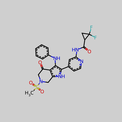 CS(=O)(=O)N1CC(=O)c2c([nH]c(-c3ccnc(NC(=O)C4CC4(F)F)c3)c2Nc2ccccc2)C1